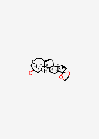 C[C@]12CCC(=O)CCCCC1=CCC1[C@@H]2CC[C@@]2(C)[C@H]1CCC21OCCO1